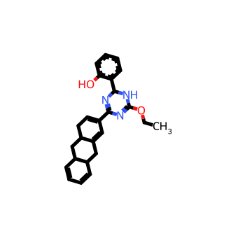 CCOC1=NC(C2=CCC3CC4C=CC=CC4CC3=C2)=NC(c2ccccc2O)N1